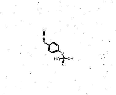 O=C=Nc1ccc(OP(O)(O)=S)cc1